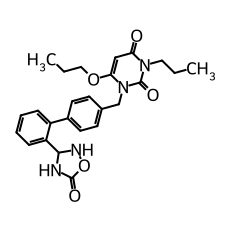 CCCOc1cc(=O)n(CCC)c(=O)n1Cc1ccc(-c2ccccc2C2NOC(=O)N2)cc1